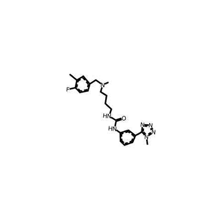 Cc1cc(CN(C)CCCCNC(=O)Nc2cccc(-c3nnnn3C)c2)ccc1F